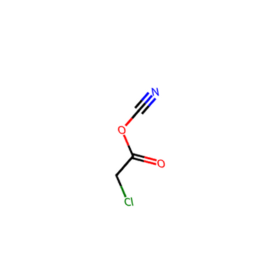 N#COC(=O)CCl